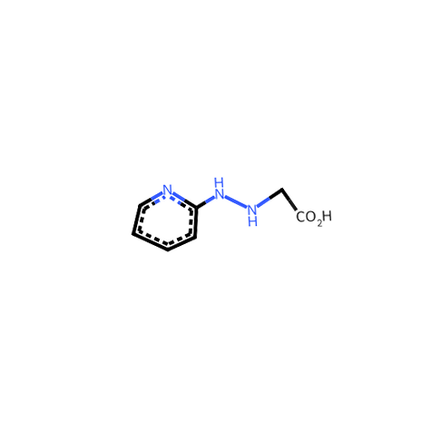 O=C(O)CNNc1ccccn1